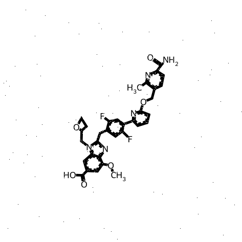 COc1cc(C(=O)O)cc2c1nc(Cc1cc(F)c(-c3cccc(OCc4ccc(C(N)=O)nc4C)n3)cc1F)n2CC1CCO1